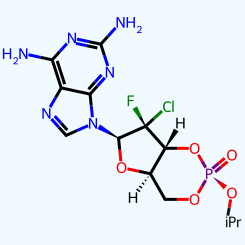 CC(C)O[P@@]1(=O)OC[C@H]2O[C@@H](n3cnc4c(N)nc(N)nc43)[C@](F)(Cl)[C@@H]2O1